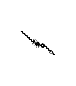 CCCCCCC/C=C/CCC(=O)Oc1cnc(-c2ccc(CCCCCOCCC)cc2)nc1